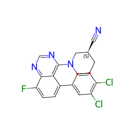 N#C[C@H]1CCCN(c2ncnc3c(F)ccc(-c4ccc(Cl)c(Cl)c4)c23)C1